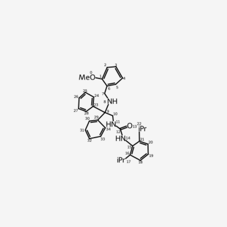 COc1ccccc1CNC(CNC(=O)Nc1c(C(C)C)cccc1C(C)C)(c1ccccc1)c1ccccc1